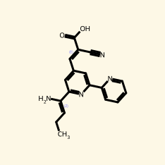 CC/C=C(\N)c1cc(/C=C(\C#N)C(=O)O)cc(-c2ccccn2)n1